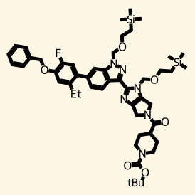 CCc1cc(OCc2ccccc2)c(F)cc1-c1ccc2c(-c3nc4c(n3COCC[Si](C)(C)C)CN(C(=O)C3CCN(C(=O)OC(C)(C)C)CC3)C4)nn(COCC[Si](C)(C)C)c2c1